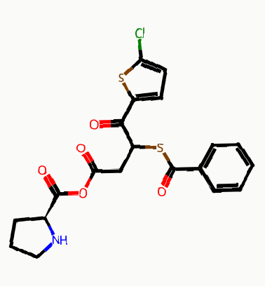 O=C(CC(SC(=O)c1ccccc1)C(=O)c1ccc(Cl)s1)OC(=O)[C@@H]1CCCN1